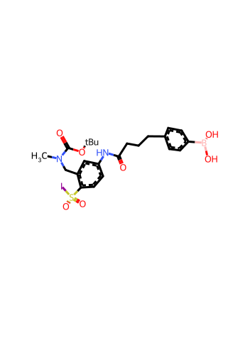 CN(Cc1cc(NC(=O)CCCc2ccc(B(O)O)cc2)ccc1S(=O)(=O)I)C(=O)OC(C)(C)C